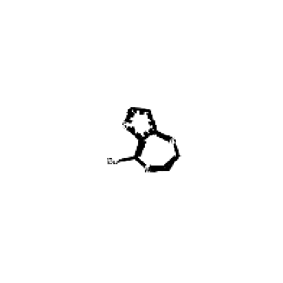 CCC(C)C1=c2sccc2=NC=C=N1